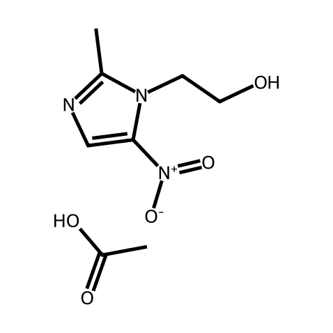 CC(=O)O.Cc1ncc([N+](=O)[O-])n1CCO